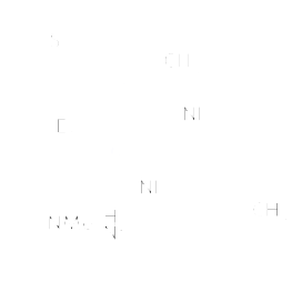 CCC(=C\C(=C/Cc1cccs1)C(C)NCCc1cc(CN)ccc1C)/C(C=N)=C/NC